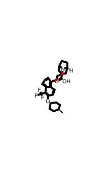 C[C@H]1CC[C@@H](Oc2ccc3c(CCCN4C5CC[C@H]4CC(C(=O)O)C5)cccc3c2C(F)(F)F)CC1